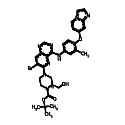 Cc1cc(Nc2ncnc3cc(Br)c(N4CCN(C(=O)OC(C)(C)C)[C@H](CO)C4)nc23)ccc1Oc1ccn2ccnc2c1